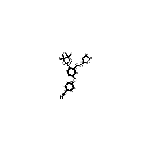 CC1(C)OB(c2ccc(Oc3ccc(C#N)cc3)cc2COC2CCCO2)OC1(C)C